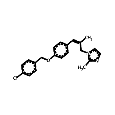 CC(=Cc1ccc(OCc2ccc(Cl)cc2)cc1)Cn1ccnc1C